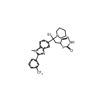 CCC(CC1C=NNC(=O)S1)(c1ccc2c(c1)nc(-c1cccc(C(F)(F)F)c1)n2C)N1CCCCC1